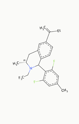 C=C(CC)c1ccc2c(c1)C[C@@H](C)N(CC(F)(F)F)C2c1c(F)cc(C)cc1F